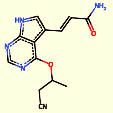 CC(CC#N)Oc1ncnc2[nH]cc(/C=C/C(N)=O)c12